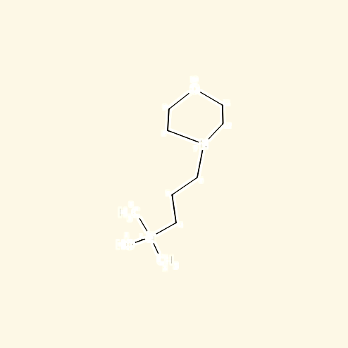 C[Si](C)(O)CCCN1CCOCC1